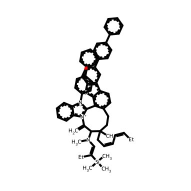 C=C1C(N(C)/C=C(\CC)[Si](C)(C)C)C(C)(C/C=C\C=C/CC)CCc2ccc3c(oc4ccc(-c5ccc(-c6ccccc6)cc5)cc43)c2-c2n(-c3ccc(-c4ccccc4)cc3)c3ccccc3[n+]21